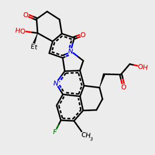 CC[C@@]1(O)C(=O)CCc2c1cc1n(c2=O)Cc2c-1nc1cc(F)c(C)c3c1c2[C@@H](CC(=O)CO)CC3